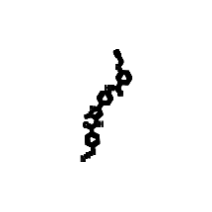 C#CCOc1cccc(C(=O)Nc2ccc(-c3cc(NC(=O)c4ccc(N=[N+]=[N-])cc4)n(C)n3)cc2)c1